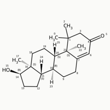 CC1(C)CC(=O)C=C2CC[C@H]3[C@@H]4CC[C@@H](O)[C@@]4(C)CC[C@@H]3[C@]21C